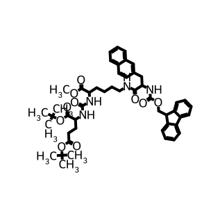 COC(=O)C(CCCCNC(=O)C(Cc1ccc2ccccc2c1)NC(=O)OCC1c2ccccc2-c2ccccc21)NC(=O)NC(CCC(=O)OC(C)(C)C)C(=O)OC(C)(C)C